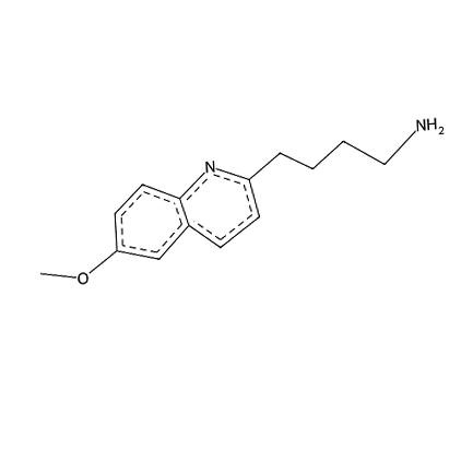 COc1ccc2nc(CCCCN)ccc2c1